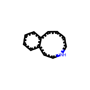 c1ccc2ccccc2cc[nH]c1